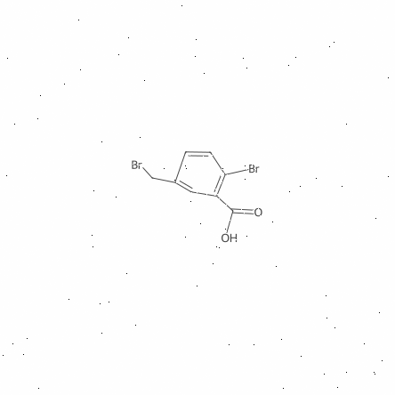 O=C(O)c1cc(CBr)ccc1Br